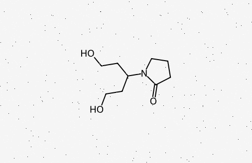 O=C1CCCN1[C](CCO)CCO